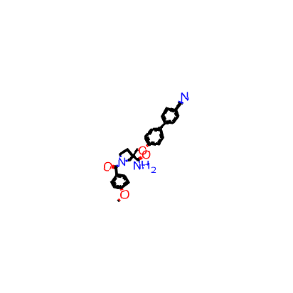 COc1ccc(C(=O)N2CCC(COc3ccc(-c4ccc(C#N)cc4)cc3)(C(N)=O)C2)cc1